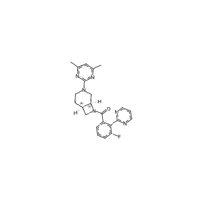 Cc1cc(C)nc(N2CC[C@@H]3CN(C(=O)c4cccc(F)c4-c4ncccn4)[C@@H]3C2)n1